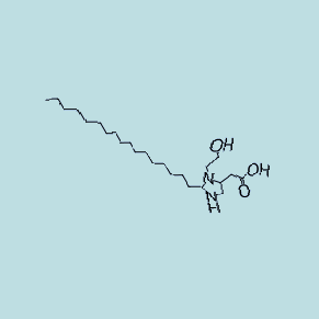 CCCCCCCCCCCCCCCCCC1NCC(CC(=O)O)N1CCO